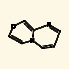 C1=CN2C=COC=C2N=C1